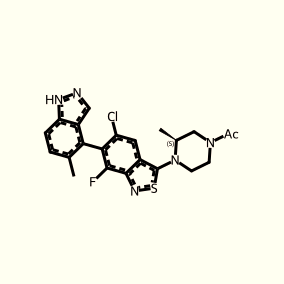 CC(=O)N1CCN(c2snc3c(F)c(-c4c(C)ccc5[nH]ncc45)c(Cl)cc23)[C@@H](C)C1